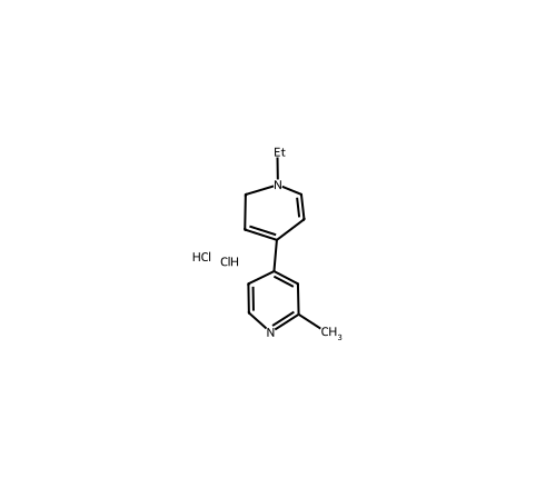 CCN1C=CC(c2ccnc(C)c2)=CC1.Cl.Cl